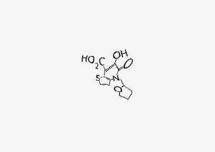 O=C(O)c1c(O)c(=O)n(CC2CCCO2)c2ccsc12